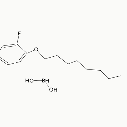 CCCCCCCCOc1ccccc1F.OBO